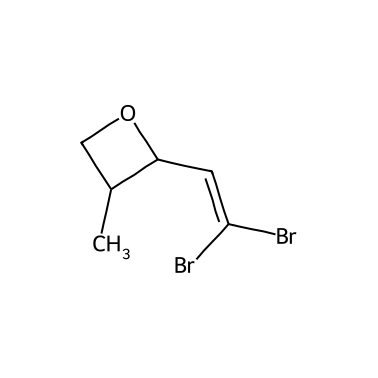 CC1COC1C=C(Br)Br